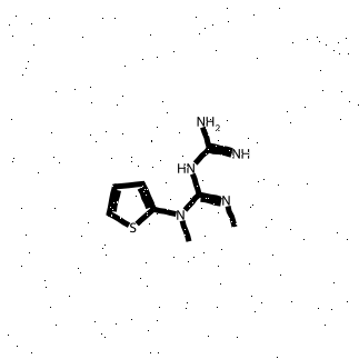 C/N=C(/NC(=N)N)N(C)c1cccs1